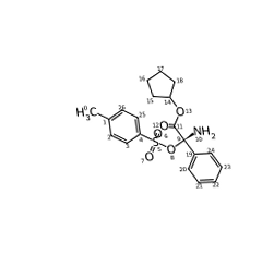 Cc1ccc(S(=O)(=O)O[C@](N)(C(=O)OC2CCCC2)c2ccccc2)cc1